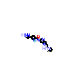 C[C@H]1CCCN1CCc1cc2ncc(NC(=O)c3ccc(-c4cc[nH]n4)cc3F)cc2[nH]1